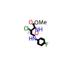 COC(=O)C(=N)/C(Cl)=C\C(=O)Nc1ccc(F)cc1